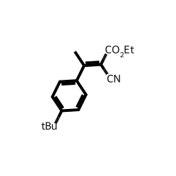 CCOC(=O)/C(C#N)=C(\C)c1ccc(C(C)(C)C)cc1